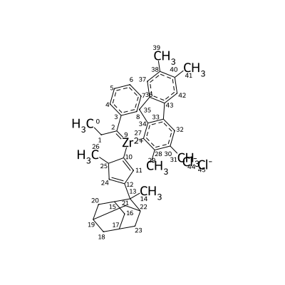 CC/[C](c1ccccc1)=[Zr+2](\[C]1=CC(C2(C)C3CC4CC(C3)CC2C4)=CC1C)[c]1c(C)c(C)cc2c1Cc1cc(C)c(C)cc1-2.[Cl-].[Cl-]